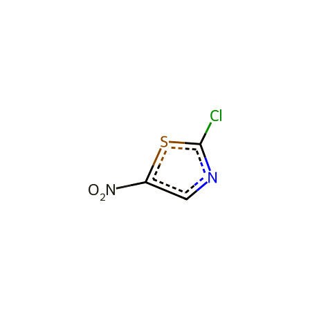 O=[N+]([O-])c1cnc(Cl)s1